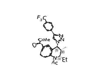 CC[C@H]1[C@@H](C)[C@H](n2cc(-c3ccc(C(F)(F)F)cc3)nn2)c2cc(C(=O)OC)ccc2N1C(C)=O